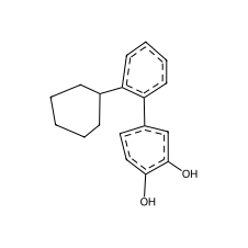 Oc1ccc(-c2ccccc2C2CCCCC2)cc1O